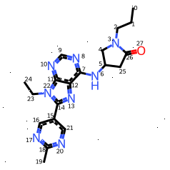 CCCN1CC(Nc2ncnc3c2nc(-c2cnc(C)nc2)n3CC)CC1=O